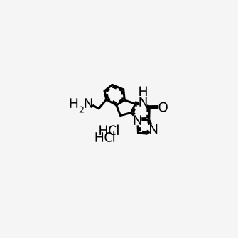 Cl.Cl.NCc1cccc2c1Cc1c-2[nH]c(=O)c2nccn12